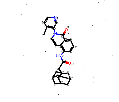 Cc1ccncc1-n1ccc2c(NC(=O)CC34CC5CC(CC(C5)C3)C4)cccc2c1=O